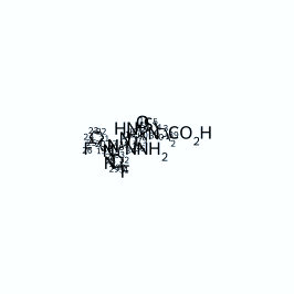 CC(C)(Cc1csc([C@@]2(C)C(=O)Nc3nc(-c4nn(Cc5ccccc5F)c5ncc(F)cc45)nc(N)c32)n1)C(=O)O